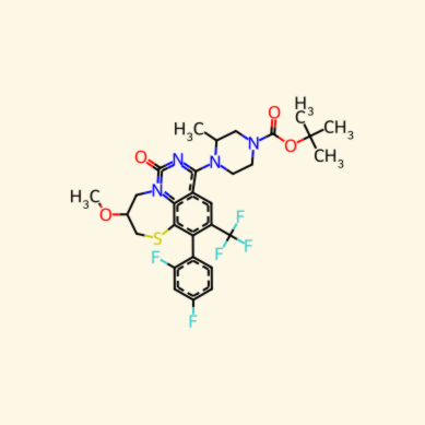 COC1CSc2c(-c3ccc(F)cc3F)c(C(F)(F)F)cc3c(N4CCN(C(=O)OC(C)(C)C)CC4C)nc(=O)n(c23)C1